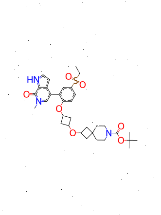 CCS(=O)(=O)c1ccc(OC2CC(OC3CC4(CCN(C(=O)OC(C)(C)C)CC4)C3)C2)c(-c2cn(C)c(=O)c3[nH]ccc23)c1